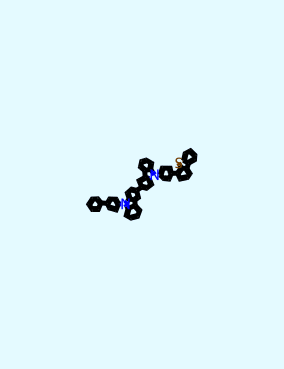 c1ccc(-c2ccc(-n3c4ccccc4c4cc(-c5ccc6c(c5)c5ccccc5n6-c5ccc(-c6cccc7c6sc6ccccc67)cc5)ccc43)cc2)cc1